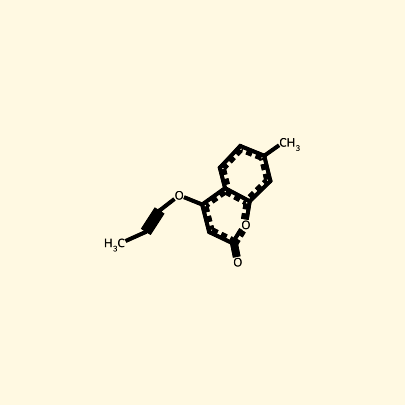 CC#COc1cc(=O)oc2cc(C)ccc12